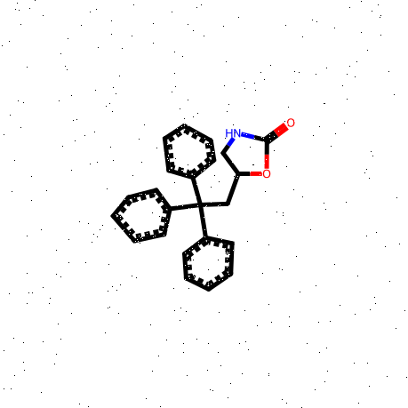 O=C1NCC(CC(c2ccccc2)(c2ccccc2)c2ccccc2)O1